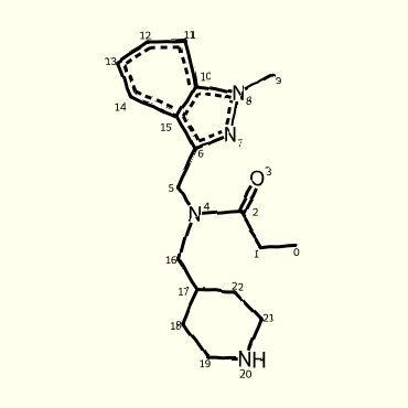 CCC(=O)N(Cc1nn(C)c2ccccc12)CC1CCNCC1